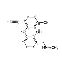 CNCc1cccc(Oc2cc(Cl)ccc2C#N)c1O